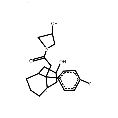 O=C(CC1(c2ccc(F)cc2)C2CCCC1CC(O)C2)N1CC(O)C1